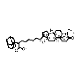 CN1C(=O)CC[C@@]2(C)C1CC[C@@H]1[C@H]2CC[C@]2(C)C(CCCCCCC(C(=O)O)C34CC5CC(CC(C5)C3)C4)CC[C@@H]12